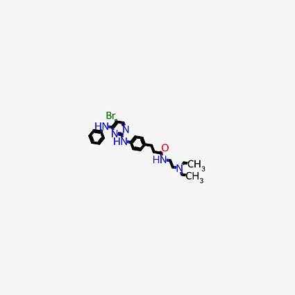 CCN(CC)CCNC(=O)CCc1ccc(Nc2ncc(Br)c(Nc3ccccc3)n2)cc1